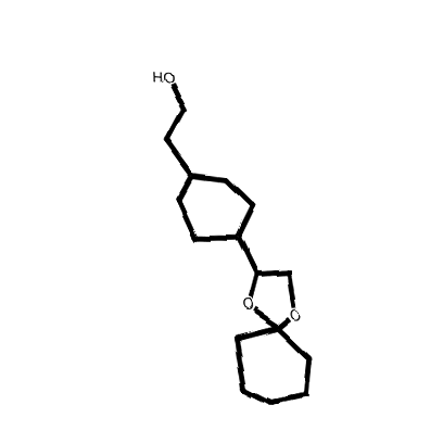 OCCC1CCC(C2COC3(CCCCC3)O2)CC1